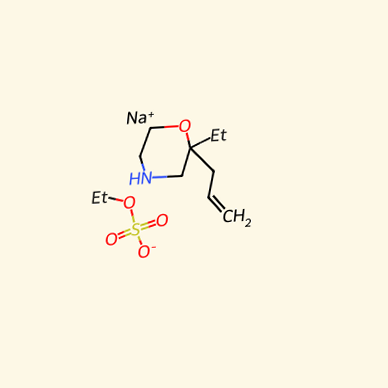 C=CCC1(CC)CNCCO1.CCOS(=O)(=O)[O-].[Na+]